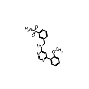 COc1ccccc1-c1cc(NCc2cccc(S(N)(=O)=O)c2)ncn1